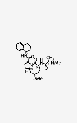 CN[C@@H](C)C(=O)N[C@H]1CC[C@H](OC)C[C@H]2CC[C@@H](C(=O)N[C@@H]3CCCc4ccccc43)N2C1=O